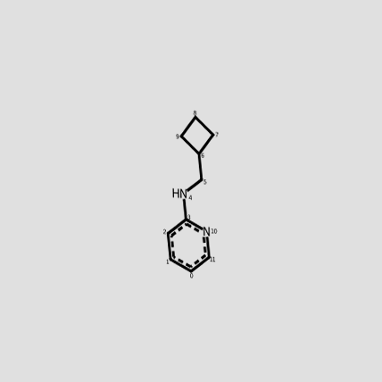 c1ccc(NCC2CCC2)nc1